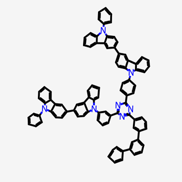 c1ccc(-c2cccc(-c3cccc(-c4nc(-c5ccc(-n6c7ccccc7c7cc(-c8ccc9c(c8)c8ccccc8n9-c8ccccc8)ccc76)cc5)nc(-c5cccc(-n6c7ccccc7c7cc(-c8ccc9c(c8)c8ccccc8n9-c8ccccc8)ccc76)c5)n4)c3)c2)cc1